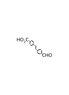 O=Cc1ccc(/C=C/c2ccc(C(=O)O)cc2)cc1